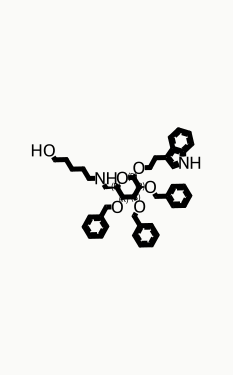 OCCCCCNC[C@H]1O[C@@H](OCCc2c[nH]c3ccccc23)[C@H](OCc2ccccc2)[C@@H](OCc2ccccc2)[C@@H]1OCc1ccccc1